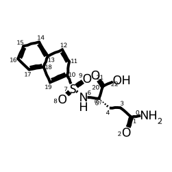 NC(=O)CC[C@H](NS(=O)(=O)c1ccc2ccccc2c1)C(=O)O